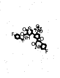 CNC(=O)c1c(-c2ccc(F)cc2)oc2cc(N(C)S(C)(=O)=O)c(-c3cc(C(=O)N[C@H](C)c4ccc(F)cc4)c(=O)n(C)c3)cc12